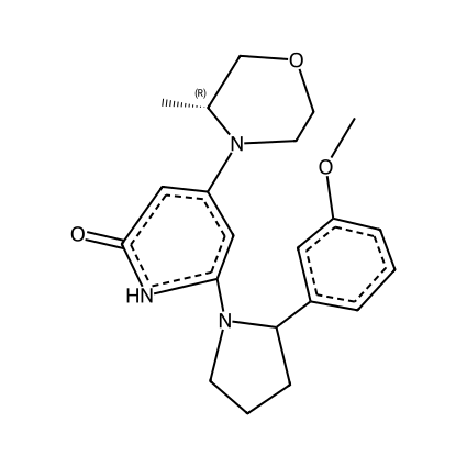 COc1cccc(C2CCCN2c2cc(N3CCOC[C@H]3C)cc(=O)[nH]2)c1